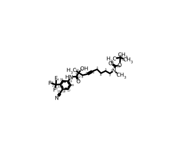 CN(CCCCC#CCC(C)(O)C(=O)Nc1ccc(C#N)c(C(F)(F)F)c1)C(=O)OC(C)(C)C